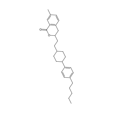 CCCCCc1ccc(C2CCC(CCC3Cc4ccc(C)cc4C(=O)O3)CC2)cc1